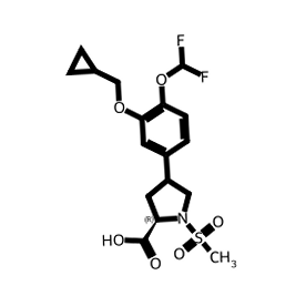 CS(=O)(=O)N1CC(c2ccc(OC(F)F)c(OCC3CC3)c2)C[C@@H]1C(=O)O